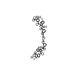 COC(=O)c1cc(C(=O)c2c(C)c(NC(=O)c3cccc(OCCOCCOc4cccc(C(=O)Nc5c(C)c(C(=O)c6ccc(N)c(C(=O)OC)c6)n6ccccc56)c4)c3)c3ccccn23)ccc1N